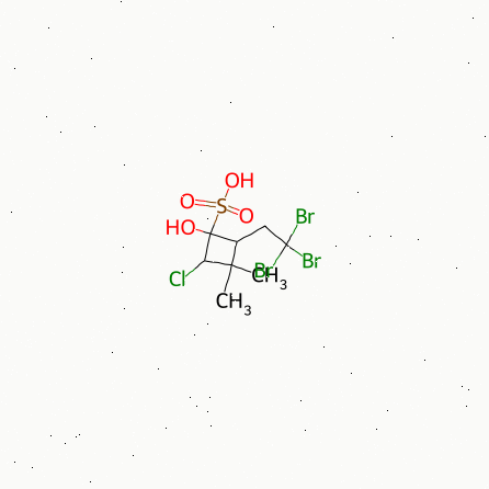 CC1(C)C(Cl)C(O)(S(=O)(=O)O)C1CC(Br)(Br)Br